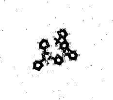 CN1C(c2ccccc2)=CC(c2ccccc2)=NC1c1cccc(-n2c3ccccc3c3cc4c(cc32)C(C)(C)c2ccccc2-4)c1